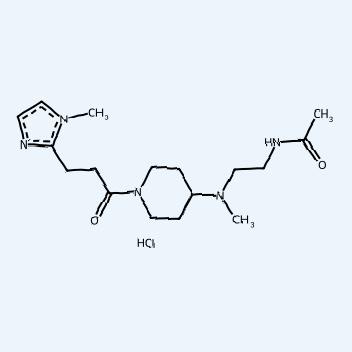 CC(=O)NCCN(C)C1CCN(C(=O)CCc2nccn2C)CC1.Cl